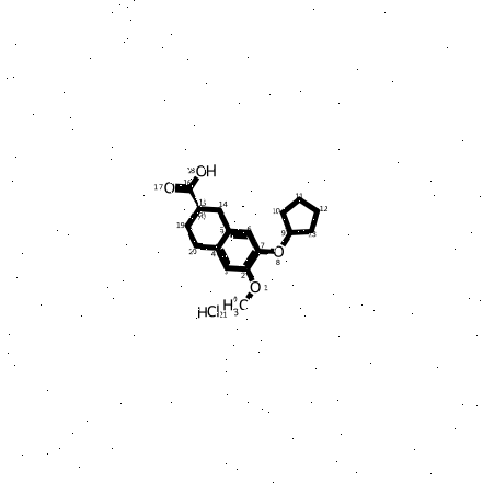 COc1cc2c(cc1OC1CCCC1)C[C@H](C(=O)O)CC2.Cl